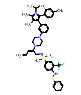 C=C/C=C(\CNS(C)(C)c1ccc(NSC2=CCCC=C2)c(C(F)(F)F)c1)N1CCN(c2cccc(-c3c(C)c(C)n(C(C)C)c3-c3ccc(C)cc3)c2)CC1